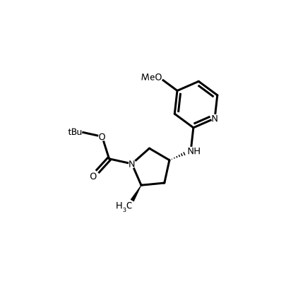 COc1ccnc(N[C@@H]2C[C@@H](C)N(C(=O)OC(C)(C)C)C2)c1